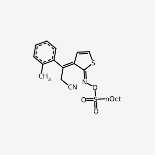 CCCCCCCCS(=O)(=O)ON=C1SC=CC1=C(CC#N)c1ccccc1C